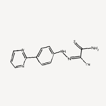 N#CC(=NNc1ccc(-c2ncccn2)cc1)C(N)=S